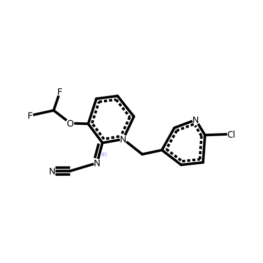 N#C/N=c1\c(OC(F)F)cccn1Cc1ccc(Cl)nc1